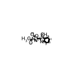 CC(=O)n1nc(-c2nc3ccccc3n2C)oc1=O